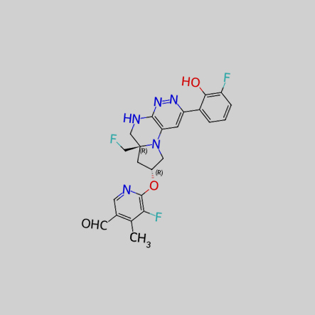 Cc1c(C=O)cnc(O[C@H]2CN3c4cc(-c5cccc(F)c5O)nnc4NC[C@@]3(CF)C2)c1F